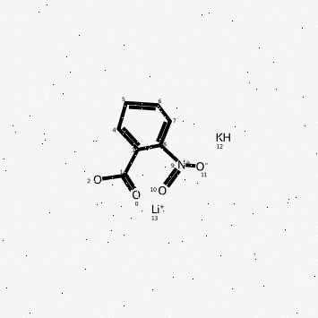 O=C([O-])c1ccccc1[N+](=O)[O-].[KH].[Li+]